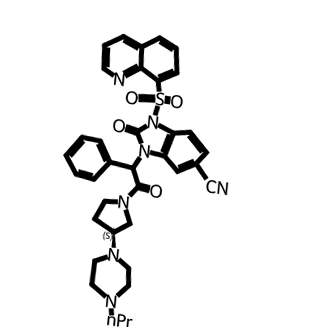 CCCN1CCN([C@H]2CCN(C(=O)C(c3ccccc3)n3c(=O)n(S(=O)(=O)c4cccc5cccnc45)c4ccc(C#N)cc43)C2)CC1